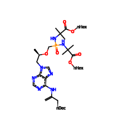 C=C(CCCCCCCCCCC)Nc1ncnc2c1ncn2C[C@@H](C)OCP(=O)(NC(C)(C)C(=O)OCCCCCC)NC(C)(C)C(=O)OCCCCCC